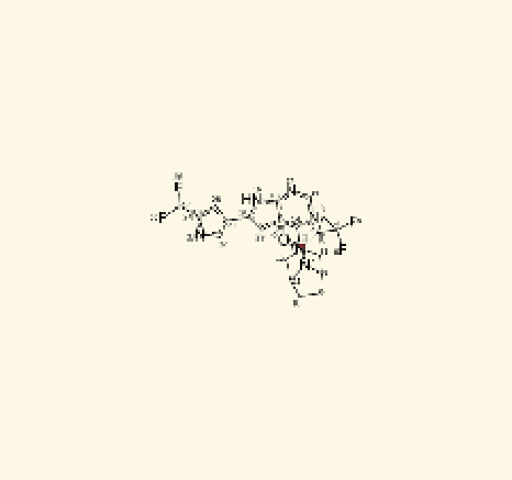 O=C([C@@H]1CC1(F)F)N1C2CCC1CN(c1ncnc3[nH]c(-c4cnn(C(F)F)c4)cc13)C2